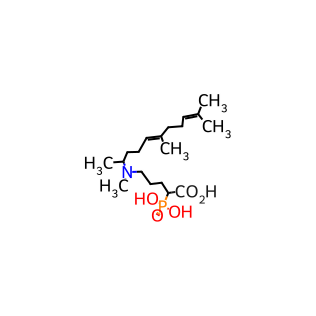 CC(C)=CCC/C(C)=C/CCC(C)N(C)CCCC(C(=O)O)P(=O)(O)O